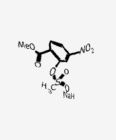 COC(=O)c1ccc([N+](=O)[O-])cc1OS(C)(=O)=O.[NaH]